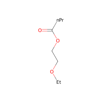 CCCC(=O)OCCOCC